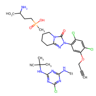 C#CCOc1cc(-n2nc3n(c2=O)CCCC3)c(Cl)cc1Cl.CCNc1nc(Cl)nc(NC(C)(C)C#N)n1.CP(=O)(O)CCC(N)C(=O)O